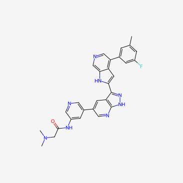 Cc1cc(F)cc(-c2cncc3[nH]c(-c4n[nH]c5ncc(-c6cncc(NC(=O)CN(C)C)c6)cc45)cc23)c1